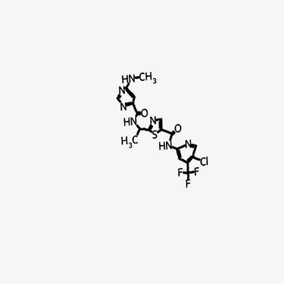 CNc1cc(C(=O)NC(C)c2ncc(C(=O)Nc3cc(C(F)(F)F)c(Cl)cn3)s2)ncn1